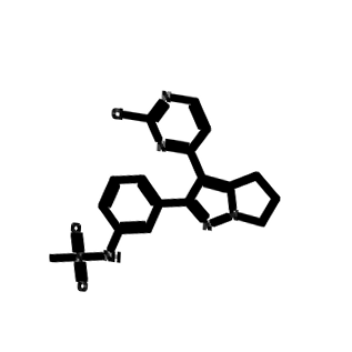 CS(=O)(=O)Nc1cccc(-c2nn3c(c2-c2ccnc(Cl)n2)CCC3)c1